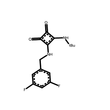 CC(C)(C)Nc1c(NCc2cc(F)cc(F)c2)c(=O)c1=O